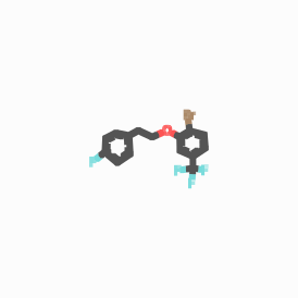 Fc1ccc(CCOc2cc(C(F)(F)F)ccc2Br)cc1